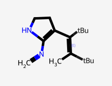 C=NC1=C(/C(=C(\C)C(C)(C)C)C(C)(C)C)CCN1